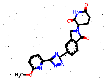 COc1cccc(C2=NC(c3ccc4c(c3)CN(C3CCC(=O)NC3=O)C4=O)N=N2)n1